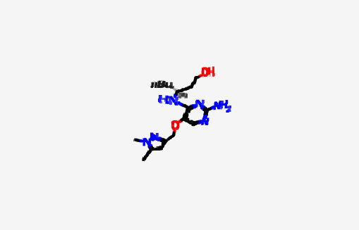 CCCC[C@H](CCO)Nc1nc(N)ncc1OCc1cc(C)n(C)n1